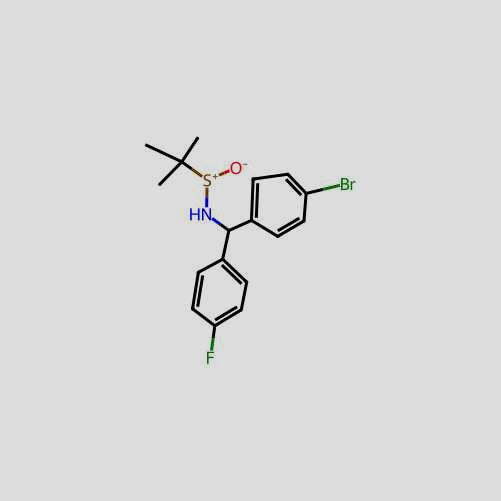 CC(C)(C)[S+]([O-])NC(c1ccc(F)cc1)c1ccc(Br)cc1